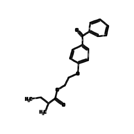 CCC(C)C(=O)OCCOc1ccc(C(=O)c2ccccc2)cc1